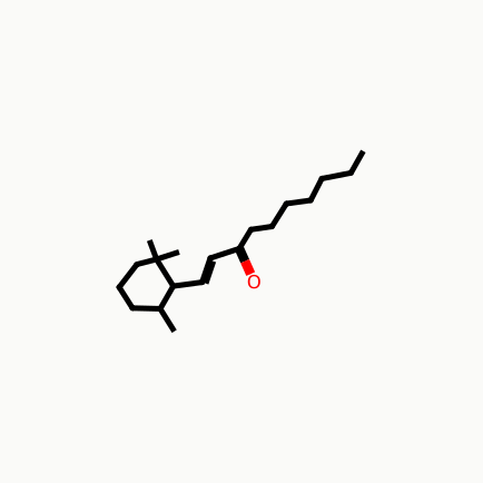 CCCCCCCC(=O)C=CC1C(C)CCCC1(C)C